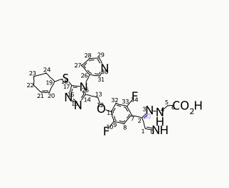 N=C/C(=N\NCC(=O)O)c1cc(F)c(OCc2nnc(SC3C=CCCC3)n2-c2cccnc2)cc1F